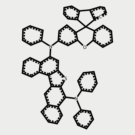 c1ccc(N(c2ccc3c(c2)Oc2ccccc2C32c3ccccc3-c3ccccc32)c2cc3sc4c(N(c5ccccc5)c5ccccc5)c5ccccc5cc4c3c3ccccc23)cc1